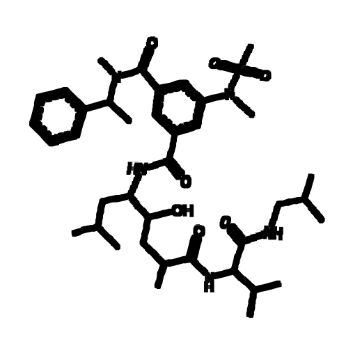 CC(C)CNC(=O)C(NC(=O)C(C)CC(O)C(CC(C)C)NC(=O)c1cc(C(=O)N(C)C(C)c2ccccc2)cc(N(C)S(C)(=O)=O)c1)C(C)C